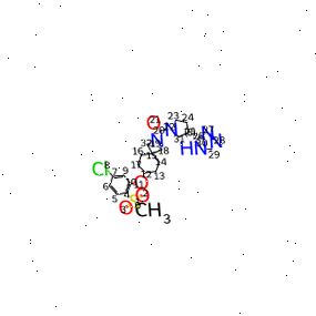 CS(=O)(=O)c1ccc(Cl)cc1OC1CCC2(CC1)CN(C(=O)N1CC[C@H](c3nnc[nH]3)C1)C2